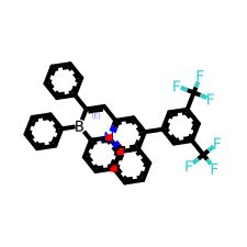 FC(F)(F)c1cc(-c2cc(/C=C(\B(c3ccccc3)c3ccccc3)c3ccccc3)nc3ccccc23)cc(C(F)(F)F)c1